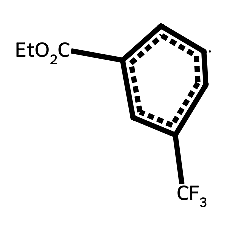 CCOC(=O)c1c[c]cc(C(F)(F)F)c1